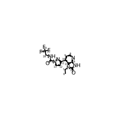 CCn1c(=O)[nH]c2nccc(-c3ccn(C(=O)NCC(F)(F)F)n3)c21